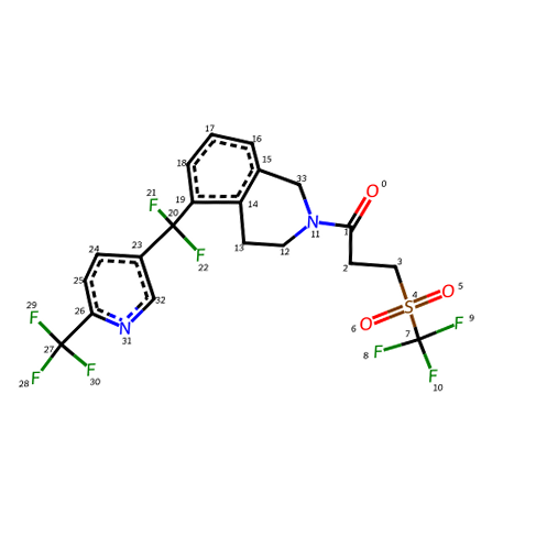 O=C(CCS(=O)(=O)C(F)(F)F)N1CCc2c(cccc2C(F)(F)c2ccc(C(F)(F)F)nc2)C1